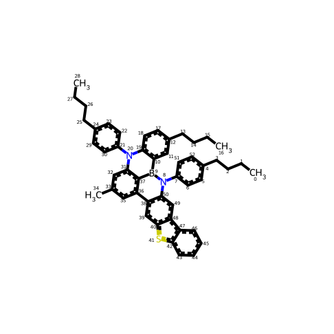 CCCCc1ccc(N2B3c4cc(CCCC)ccc4N(c4ccc(CCCC)cc4)c4cc(C)cc(c43)-c3cc4sc5ccccc5c4cc32)cc1